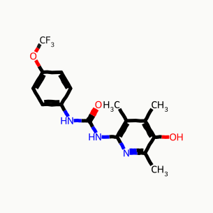 Cc1nc(NC(=O)Nc2ccc(OC(F)(F)F)cc2)c(C)c(C)c1O